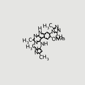 COc1cc2c(cc1-n1c(C)nnc1C)[nH]c1nc(C)nc(Nc3cc(C)nn3C)c12